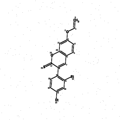 C=COc1ccc2cc(-c3ccc(CC)cc3CC)c(=S)oc2c1